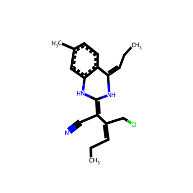 CC/C=C(CCl)\C(C#N)=C1/N/C(=C/CC)c2ccc(C)cc2N1